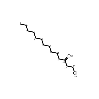 CCCCCCCCCCCC(=O)[CH]CO